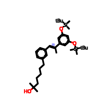 C/C(=C\c1cccc(CCCCCC(C)(C)O)c1)c1cc(O[Si](C)(C)C(C)(C)C)cc(O[Si](C)(C)C(C)(C)C)c1